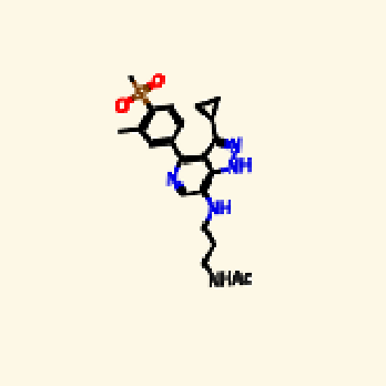 CC(=O)NCCCNc1cnc(-c2ccc(S(C)(=O)=O)c(C)c2)c2c(C3CC3)n[nH]c12